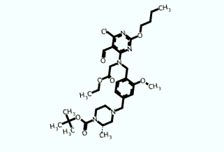 CCCCOc1nc(Cl)c(C=O)c(N(CC(=O)OCC)Cc2ccc(CN3CCN(C(=O)OC(C)(C)C)[C@@H](C)C3)cc2OC)n1